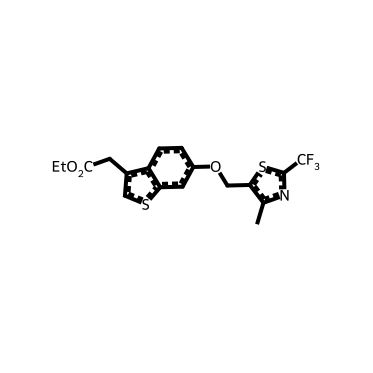 CCOC(=O)Cc1csc2cc(OCc3sc(C(F)(F)F)nc3C)ccc12